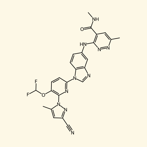 CNC(=O)c1cc(C)nnc1Nc1ccc2c(c1)ncn2-c1ccc(OC(F)F)c(-n2nc(C#N)cc2C)n1